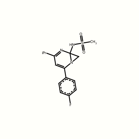 CC(C)C1=NC2(NS(C)(=O)=O)CN2C(c2ccc(F)cc2)=[C]1